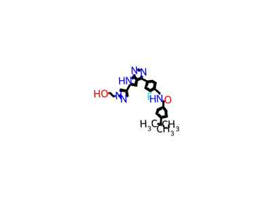 CC(C)(C)c1ccc(C(=O)NCc2ccc(-c3ncnc4[nH]c(-c5cnn(CCO)c5)cc34)cc2F)cc1